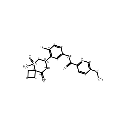 COc1ccc(C(=O)Nc2ccc(F)c([C@@H]3C[SH](C)(=O)C4(CCC4)C(=N)N3)c2)nc1